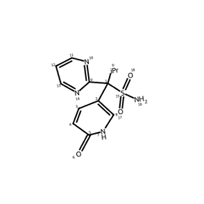 CC(C)C(c1ccc(=O)[nH]c1)(c1ncccn1)S(N)(=O)=O